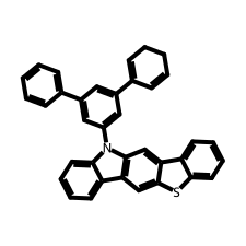 C1=CC(c2cc(-c3ccccc3)cc(-n3c4ccccc4c4cc5sc6ccccc6c5cc43)c2)=CCC1